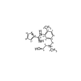 Cc1ccc(CN(C)CCO)cc1NC(=N)c1cccs1